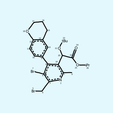 Cc1nc(CBr)c(Br)c(-c2ccc3c(c2)CCCO3)c1C(OC(C)(C)C)C(=O)OC(C)C